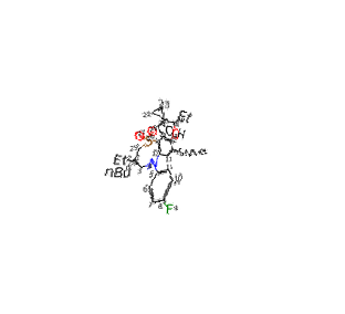 CCCC[C@@]1(CC)CN(c2ccc(F)cc2)c2cc(SC)c(OC(CC)C3(C(=O)O)CC3)cc2S(=O)(=O)C1